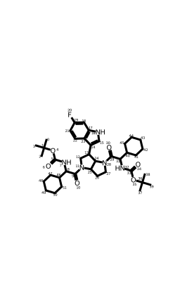 CC(C)(C)OC(=O)NC(C(=O)N1CC(c2c[nH]c3cc(F)ccc23)C2C1CCN2C(=O)C(NC(=O)OC(C)(C)C)C1CCCCC1)C1CCCCC1